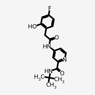 CC(C)(C)NC(=O)c1cc(NC(=O)Cc2ccc(F)cc2O)ccn1